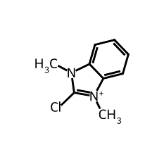 Cn1c(Cl)[n+](C)c2ccccc21